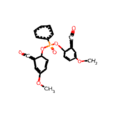 COC1=CC(=C=O)C(OP(=O)(OC2C=CC(OC)=CC2=C=O)c2ccccc2)C=C1